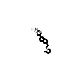 CC1CCCN1CCc1ccc2cc(-c3cnc(N)nc3)ccc2c1